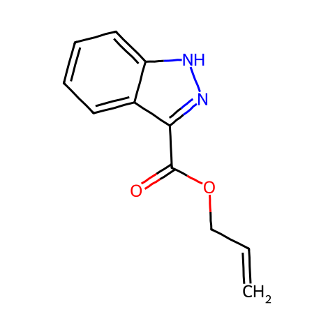 C=CCOC(=O)c1n[nH]c2ccccc12